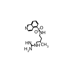 CC(CCNS(=O)(=O)c1cccc2cnccc12)CNC(=N)N